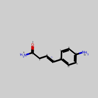 NC(=O)C/C=C/c1ccc(N)cc1